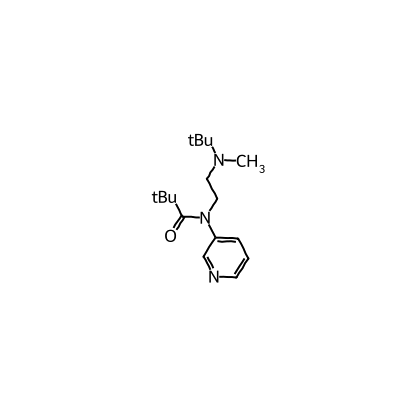 CN(CCN(C(=O)C(C)(C)C)c1cccnc1)C(C)(C)C